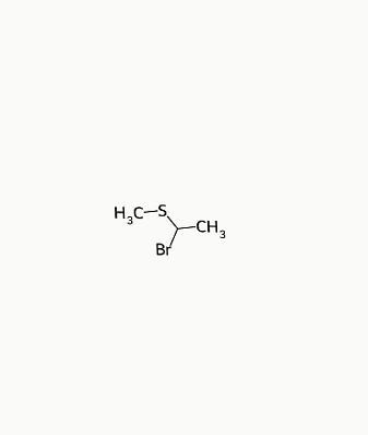 CSC(C)Br